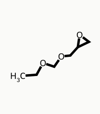 CCOCOCC1CO1